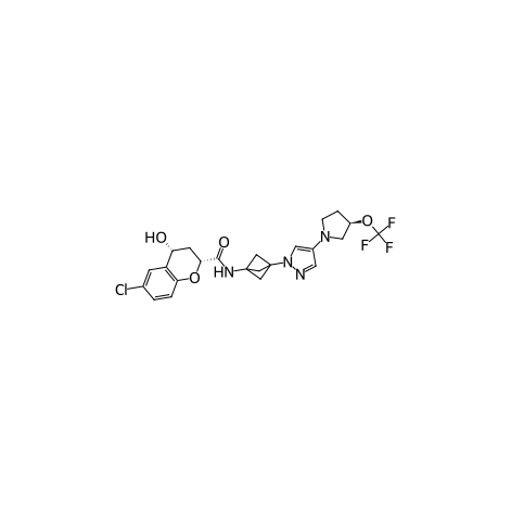 O=C(NC12CC(n3cc(N4CC[C@@H](OC(F)(F)F)C4)cn3)(C1)C2)[C@H]1C[C@@H](O)c2cc(Cl)ccc2O1